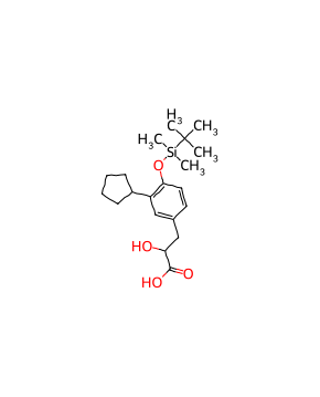 CC(C)(C)[Si](C)(C)Oc1ccc(CC(O)C(=O)O)cc1C1CCCC1